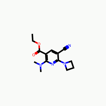 CCOC(=O)c1cc(C#N)c(N2CCC2)nc1N(C)C